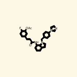 CC(=O)Oc1cc(C=CC(=O)Nc2cccc3ccn(Cc4ccc(-n5ccnc5)cc4)c23)ccc1F